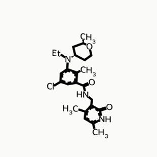 CCN(c1cc(Cl)cc(C(=O)NCc2c(C)cc(C)[nH]c2=O)c1C)[C@H]1CCO[C@H](C)C1